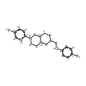 Fc1ccc(OCC2CCC3CN(c4ccc(F)cn4)CCN3C2)cc1